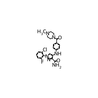 CN1CCN(C(=O)c2ccc(Nc3cn(-c4c(F)cccc4Cl)nc3C(N)=O)cc2)CC1